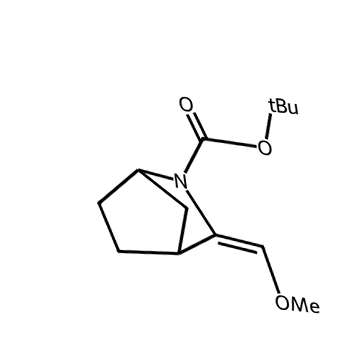 COC=C1C2CCC(C2)N1C(=O)OC(C)(C)C